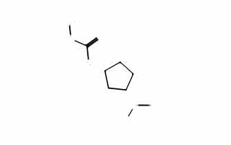 CN(C)[C@H]1CC[C@@H](NC(=O)OC(C)(C)C)C1